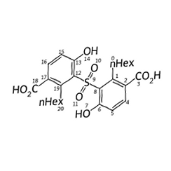 CCCCCCc1c(C(=O)O)ccc(O)c1S(=O)(=O)c1c(O)ccc(C(=O)O)c1CCCCCC